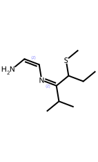 CCC(SC)/C(=N\C=C/N)C(C)C